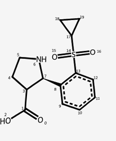 O=C(O)C1CCN[C@H]1c1ccccc1S(=O)(=O)C1CC1